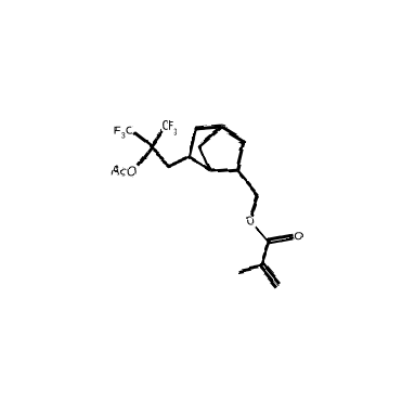 C=C(C)C(=O)OCC1CC2CC(CC(OC(C)=O)(C(F)(F)F)C(F)(F)F)C1C2